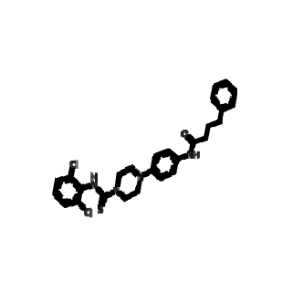 O=C(CCCc1ccccc1)Nc1ccc(N2CCN(C(=S)Nc3c(Cl)cccc3Cl)CC2)cc1